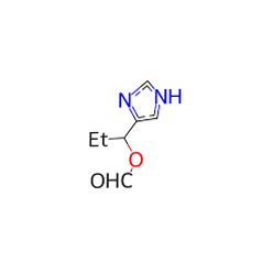 [CH2]CC(OC=O)c1c[nH]cn1